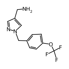 NCc1cnn(Cc2ccc(OC(F)(F)F)cc2)c1